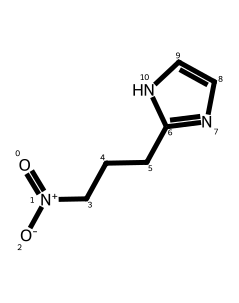 O=[N+]([O-])CCCc1ncc[nH]1